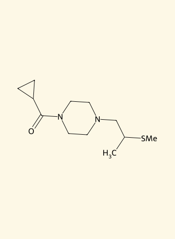 CSC(C)CN1CCN(C(=O)C2CC2)CC1